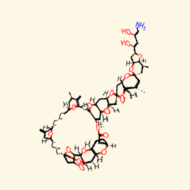 C=C1C[C@@H]2CC[C@@]34CC5O[C@H]6[C@@H](O3)[C@H]3O[C@H](CC[C@@H]3O[C@H]6C5O4)CC(=O)O[C@@H]3[C@@H](C)[C@@H]4O[C@@H]5C[C@]6(C[C@@H]7O[C@]8(C[C@H](C)[C@@H]9O[C@H]([C@@H](O)C[C@@H](O)CN)C[C@@H]9O8)C[C@H](C)[C@@H]7O6)O[C@@H]5C[C@@H]4O[C@H]3C[C@H]3O[C@@H](CC[C@@H]1O2)C[C@@H](C)C3=C